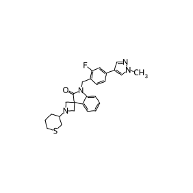 Cn1cc(-c2ccc(CN3C(=O)C4(CN(C5CCCSC5)C4)c4ccccc43)c(F)c2)cn1